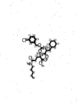 CCCCCN(C)C(=O)CCC(NC(=O)C(CC1CCCCC1)NC(=O)OCc1cccc(Cl)c1)C(=O)OC